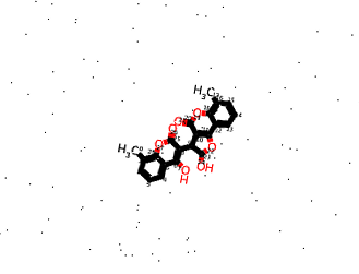 Cc1cccc2c(O)c(C3c4c(c5cccc(C)c5oc4=O)OC3O)c(=O)oc12